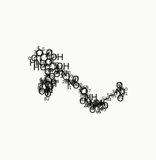 COc1cccc2c1C(=N)c1c(O)c3c(c(O)c1C2=O)C[C@@](O)(C(=O)CN1CCC(N(C)C(=O)OCc2ccc(NC(=O)[C@H](C)NC(=O)[C@@H](NC(=O)CCCCCN4C(=O)C=CC4=O)C(C)C)cc2)CC1)C[C@@H]3O[C@H]1C[C@H]2[C@H](O[C@@H]3[C@@H](OC)OCCN32)[C@H](C)O1